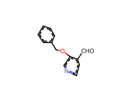 O=Cc1ccncc1OCc1ccccc1